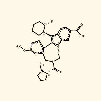 COc1ccc2c(c1)CN(C(=O)[C@@H]1CCCN1C)CCn1c-2c([C@H]2CCCC[C@@H]2F)c2ccc(C(=O)O)cc21